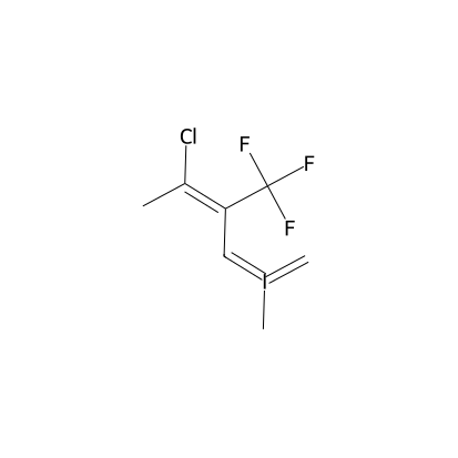 C=I(/C)=C\C(=C(/C)Cl)C(F)(F)F